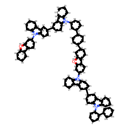 c1ccc(-c2ccccc2-n2c3ccccc3c3cc(-c4ccc5c(c4)c4ccccc4n5-c4ccc5c(c4)oc4cc(-c6ccc(-c7cccc(-n8c9ccccc9c9cc(-c%10ccc%11c(c%10)c%10ccccc%10n%11-c%10ccc%11c(c%10)oc%10ccccc%10%11)ccc98)c7)cc6)ccc45)ccc32)cc1